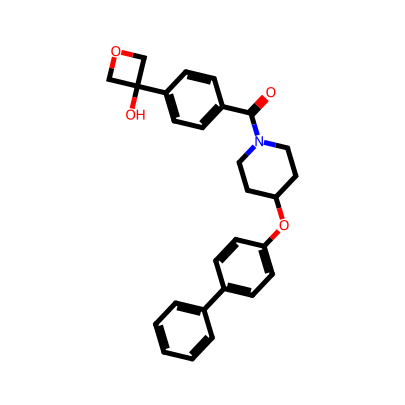 O=C(c1ccc(C2(O)COC2)cc1)N1CCC(Oc2ccc(-c3ccccc3)cc2)CC1